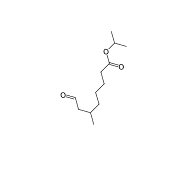 CC(CC=O)CCCCC(=O)OC(C)C